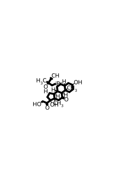 C#CC(C)(O)CC(C)C.C[C@]12CC[C@@H](O)C[C@H]1CC[C@@H]1[C@@H]2C(=O)C[C@@]2(C)[C@H]1CC[C@]2(O)C(=O)CO